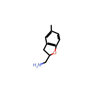 Cc1ccc2c(c1)CC(CN)O2